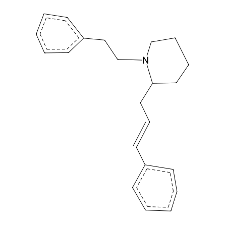 C(=C\c1ccccc1)/CC1CCCCN1CCc1ccccc1